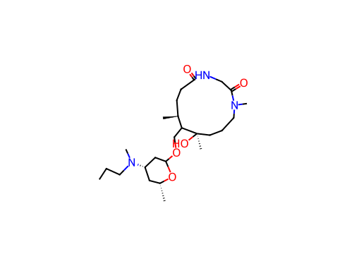 CCCN(C)[C@@H]1CC(OCC2[C@@H](C)CCC(=O)NCC(=O)N(C)CCC[C@@]2(C)O)O[C@H](C)C1